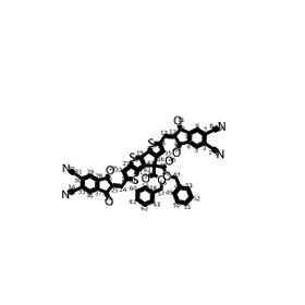 N#Cc1cc2c(cc1C#N)C(=O)C(=Cc1cc3c(s1)-c1sc4cc(C=C5C(=O)c6cc(C#N)c(C#N)cc6C5=O)sc4c1C3(C(=O)OCc1ccccc1)C(=O)OCc1ccccc1)C2=O